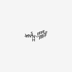 CC(C)(C)CNC(=S)NCCC(F)(F)C(F)(F)C(F)(F)C(F)(F)F